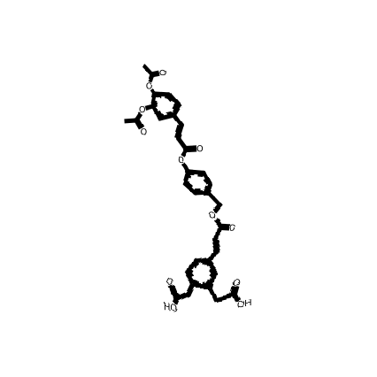 CC(=O)Oc1ccc(/C=C/C(=O)Oc2ccc(COC(=O)/C=C/c3ccc(CC(=O)O)c(CC(=O)O)c3)cc2)cc1OC(C)=O